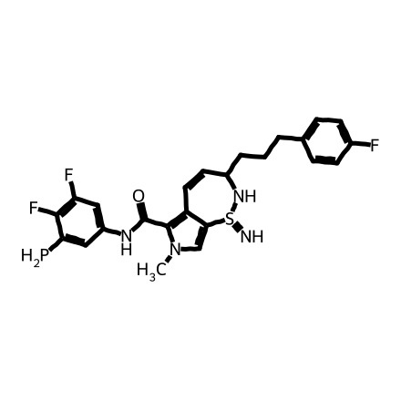 Cn1cc2c(c1C(=O)Nc1cc(F)c(F)c(P)c1)C=CC(CCCc1ccc(F)cc1)NS2=N